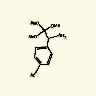 CO[Si](OC)(OC)C(N)c1ccc(C(C)=O)cc1